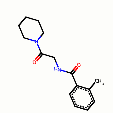 Cc1ccccc1C(=O)NCC(=O)N1CCCCC1